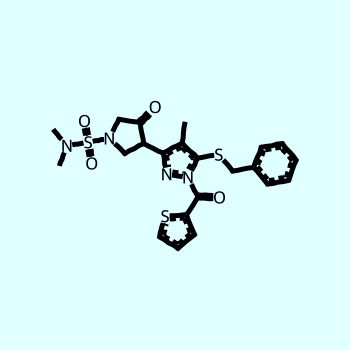 Cc1c(C2CN(S(=O)(=O)N(C)C)CC2=O)nn(C(=O)c2cccs2)c1SCc1ccccc1